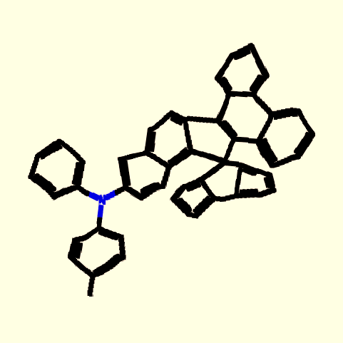 Cc1ccc(N(c2ccccc2)c2ccc3c4c(ccc3c2)-c2c(c3ccccc3c3ccccc23)C42c3ccccc3-c3ccccc32)cc1